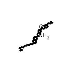 C=C(C)/C=C/c1ccc(CC(=O)c2ccc(CC(=C)c3ccc4cc(CCCCCCCCC(=C)C(=C)C)ccc4c3)c(N)c2)c(C)c1